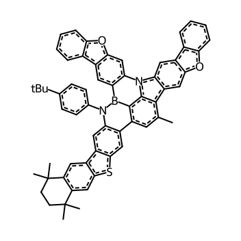 Cc1cc2c3c4c1c1cc5oc6ccccc6c5cc1n4-c1cc4oc5ccccc5c4cc1B3N(c1ccc(C(C)(C)C)cc1)c1cc3c(cc1-2)sc1cc2c(cc13)C(C)(C)CCC2(C)C